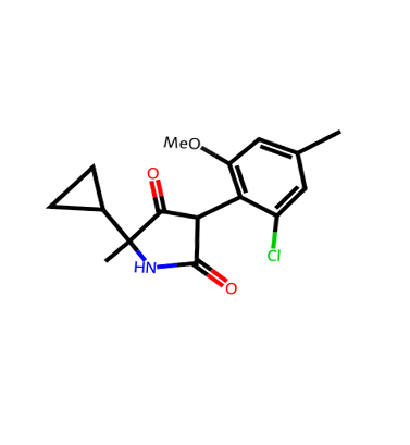 COc1cc(C)cc(Cl)c1C1C(=O)NC(C)(C2CC2)C1=O